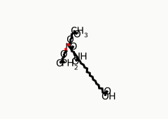 CC(=O)CCOCCN(CCOCCC(=O)P)C(=O)CCCNC(=O)CCCCCCCCCCCCCCCCC(=O)O